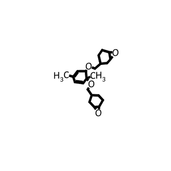 CC1=CC(OCC2CCC3OC3C2)C(C)(OCC2CCC3OC3C2)C=C1